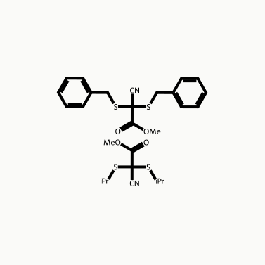 COC(=O)C(C#N)(SC(C)C)SC(C)C.COC(=O)C(C#N)(SCc1ccccc1)SCc1ccccc1